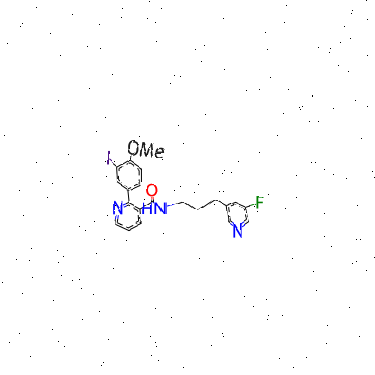 COc1ccc(-c2ncccc2C(=O)NCCCc2cncc(F)c2)cc1I